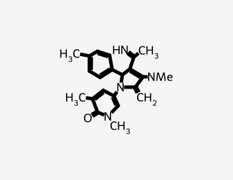 C=C1C(NC)=C(C(C)=N)C(c2ccc(C)cc2)N1c1cc(C)c(=O)n(C)c1